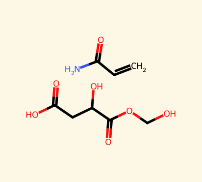 C=CC(N)=O.O=C(O)CC(O)C(=O)OCO